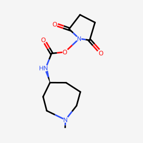 CN1CCC[C@H](NC(=O)ON2C(=O)CCC2=O)CC1